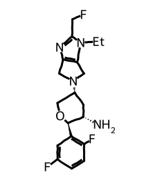 CCn1c(CF)nc2c1CN([C@H]1CO[C@H](c3cc(F)ccc3F)[C@@H](N)C1)C2